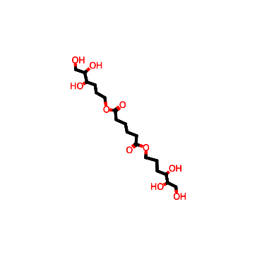 O=C(CCCCC(=O)OCCCC(O)C(O)CO)OCCCC(O)C(O)CO